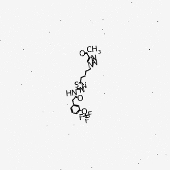 CC(=O)c1cn(CCCCc2nnc(NC(=O)Cc3cccc(OC(F)(F)F)c3)s2)nn1